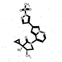 C[C@@H]1CN(c2ccnn3cc(-c4cnn(S(C)(=O)=O)c4)cc23)C(=O)[C@]1(C#N)C1CC1